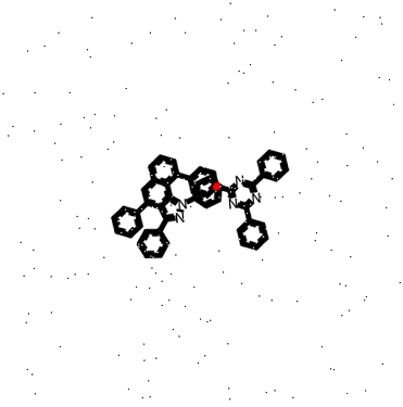 c1ccc(-c2nc(-c3ccccc3)nc(-c3ccc(-c4cccc5cc(-c6ccccc6)c6c(-c7ccccc7)nn(-c7ccccc7)c6c45)cc3)n2)cc1